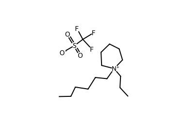 CCCCCC[N+]1(CCC)CCCCC1.O=S(=O)([O-])C(F)(F)F